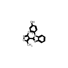 Cc1noc(C)c1-c1nc2ccccc2n1-c1ccc(O)cc1